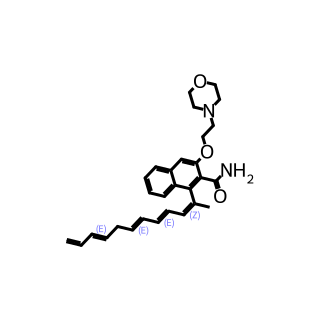 C=C/C=C/C/C=C/C=C/C=C(/C)c1c(C(N)=O)c(OCCN2CCOCC2)cc2ccccc12